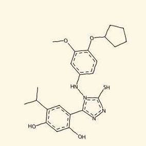 COc1cc(Nn2c(S)nnc2-c2cc(C(C)C)c(O)cc2O)ccc1OC1CCCC1